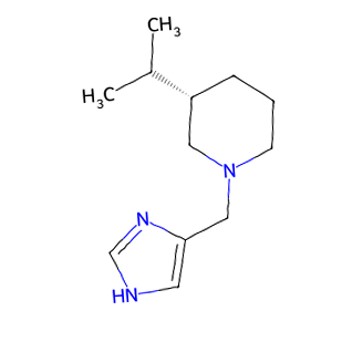 CC(C)[C@@H]1CCCN(Cc2c[nH]cn2)C1